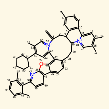 C=C1CC2c3cc(C)ccc3-c3cc(C)c(C)c[n+]3C2CCc2ccc3c(oc4nc(-c5c(C)cccc5C)ccc43)c2-c2cc(C3CCCCC3)c(C)c[n+]21